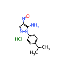 CC(C)c1ccc(-n2ncc(N=O)c2N)cc1.Cl